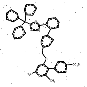 CCOC(=O)c1ccc(-c2c(OCc3ccc(-c4ccccc4-c4nnn(C(c5ccccc5)(c5ccccc5)c5ccccc5)n4)cc3)cc(C)nc2C)cc1